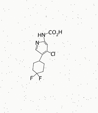 O=C(O)Nc1cc(Cl)c(C2CCC(F)(F)CC2)cn1